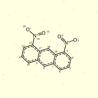 O=[N+]([O-])c1cccc2cc3cccc([N+](=O)[O-])c3cc12